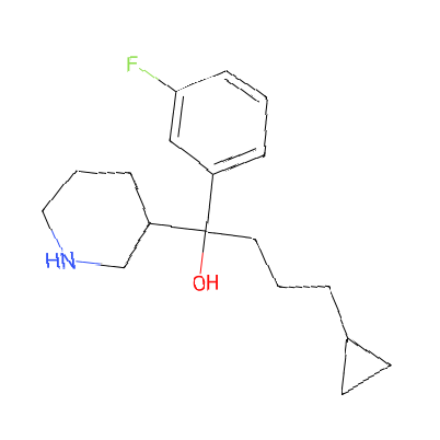 OC(CCCC1CC1)(c1cccc(F)c1)C1CCCNC1